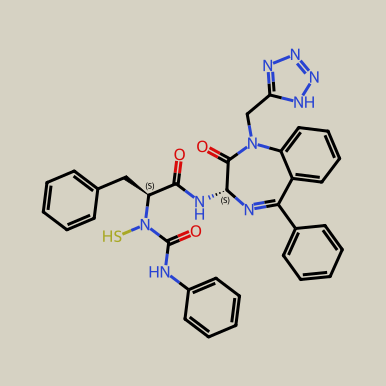 O=C(N[C@H]1N=C(c2ccccc2)c2ccccc2N(Cc2nnn[nH]2)C1=O)[C@H](Cc1ccccc1)N(S)C(=O)Nc1ccccc1